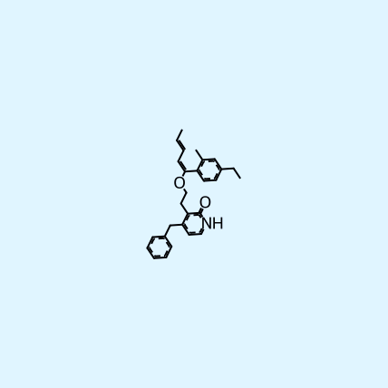 CC=C/C=C(/OCCc1c(Cc2ccccc2)cc[nH]c1=O)c1ccc(CC)cc1C